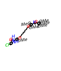 COc1cc(C2NC(=O)c3cc(Cl)ccc3N2)ccc1OCCCCCCCCCCOc1c(OC)cc(C2=NOC(c3cc(OC)c(OC)c(OC)c3)C2)cc1OC